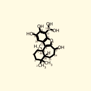 CC1(C)CCC[C@@]2(C)c3c(oc4c(B(O)O)c(O)c(O)cc34)C(O)CC[C@H]12